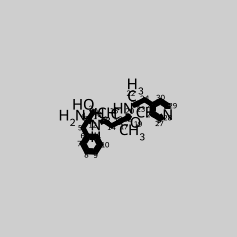 C[C@@H](O)[C@](N)(Cc1ccccc1)NCCC(C)(C)C(=O)NC(C)(C)Cc1ccncc1